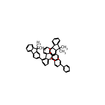 CC1(C)c2ccccc2-c2ccc(-c3cccc(N(c4ccc(-c5ccccc5)cc4)c4ccc5c(c4)C(C)(C)c4ccccc4-5)c3-c3ccccc3-c3ccccc3)cc21